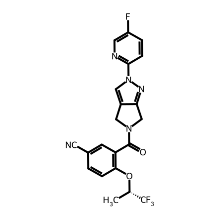 C[C@H](Oc1ccc(C#N)cc1C(=O)N1Cc2cn(-c3ccc(F)cn3)nc2C1)C(F)(F)F